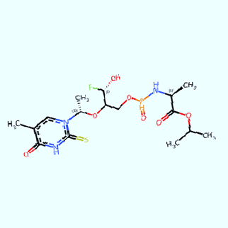 Cc1cn([C@H](C)OC(CO[PH](=O)N[C@@H](C)C(=O)OC(C)C)[C@@H](O)F)c(=S)[nH]c1=O